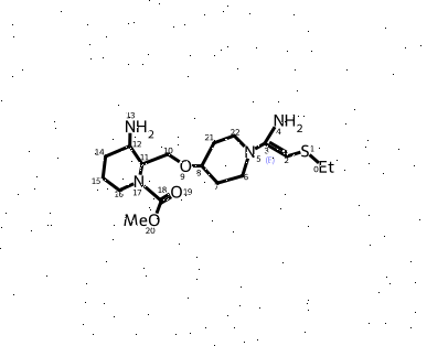 CCS/C=C(\N)N1CCC(OCC2C(N)CCCN2C(=O)OC)CC1